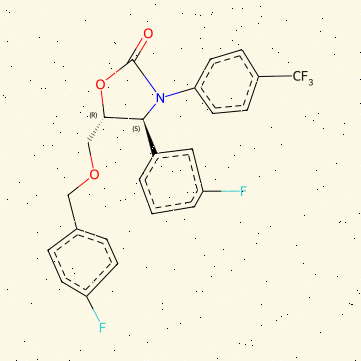 O=C1O[C@@H](COCc2ccc(F)cc2)[C@H](c2cccc(F)c2)N1c1ccc(C(F)(F)F)cc1